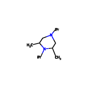 CC(C)N1CC(C)N(C(C)C)C(C)C1